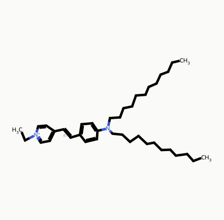 CCCCCCCCCCCCN(CCCCCCCCCCCC)c1ccc(/C=C/c2cc[n+](CC)cc2)cc1